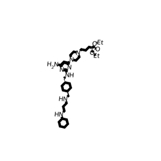 CCOP(=O)(CCCN1CCN(c2cc(N)nc(NC[C@H]3CC[C@H](CNCCCNC4CCCCC4)CC3)n2)CC1)OCC